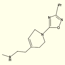 CBCCC1=CCN(c2nc(C(C)C)no2)CC1